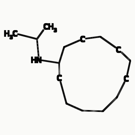 CC(C)NC1CCCCCCCCCCC1